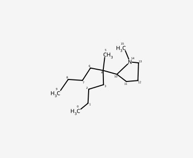 CCCCC(C)(CCCC)C1CCCN1C